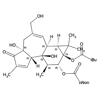 CCCCCCCCCC(=O)O[C@@H]1[C@@H](C)[C@@]2(O)[C@@H](C=C(CO)C[C@]3(O)C(=O)C(C)=C[C@@H]23)[C@H]2C(C)(C)[C@]12OC(=O)C(C)CC